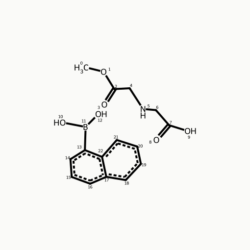 COC(=O)CNCC(=O)O.OB(O)c1cccc2ccccc12